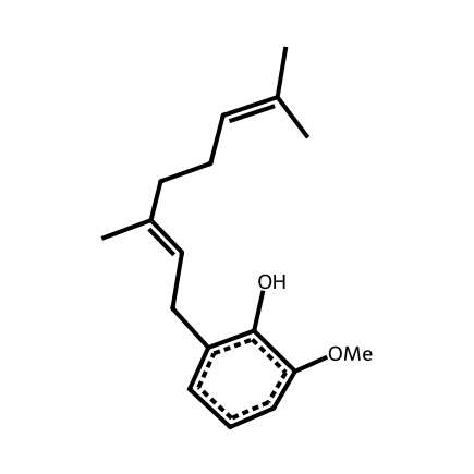 COc1cccc(C/C=C(\C)CCC=C(C)C)c1O